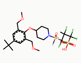 COCc1cc(C(C)(C)C)cc(COC)c1OC1CCN([SH](=O)(I)C(F)(F)C(C)(F)C(F)(F)S(=O)(=O)O)CC1